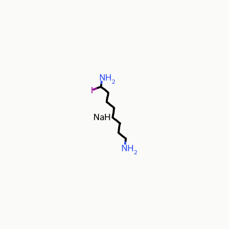 NCCCCCCCC(N)I.[NaH]